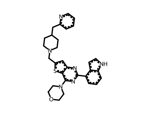 c1ccc(CC2CCN(Cc3cc4nc(-c5cccc6[nH]ccc56)nc(N5CCOCC5)c4s3)CC2)nc1